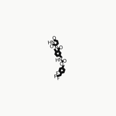 O=C1CCC(N2Cc3ccc(CNC(=O)OCc4ccc(CC(F)(F)F)cc4)cc3C2=O)C(=O)N1